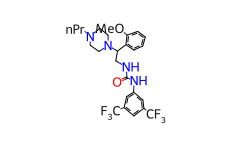 CCCN1CCN(C(CNC(=O)Nc2cc(C(F)(F)F)cc(C(F)(F)F)c2)c2ccccc2OC)CC1